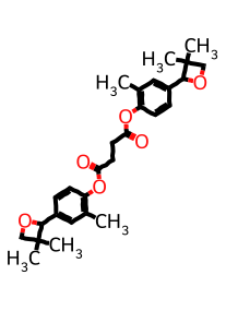 Cc1cc(C2OCC2(C)C)ccc1OC(=O)CCC(=O)Oc1ccc(C2OCC2(C)C)cc1C